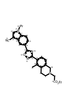 CCOC(=O)CN1CCc2c(ccc(-c3noc(-c4ccc5c(c4)c(C#N)cn5C(C)C)n3)c2C)C1